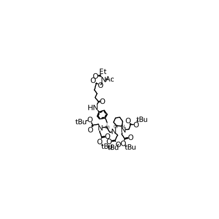 CCC(=O)N(OC(=O)CCCC(=O)Nc1ccc(C[C@H](CN(CC(=O)OC(C)(C)C)[C@H]2CCCC[C@@H]2N(CC(=O)OC(C)(C)C)CC(=O)OC(C)(C)C)N(CC(=O)OC(C)(C)C)CC(=O)OC(C)(C)C)cc1)C(C)=O